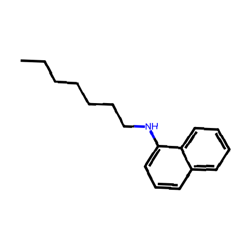 CCCCCCCNc1cccc2ccccc12